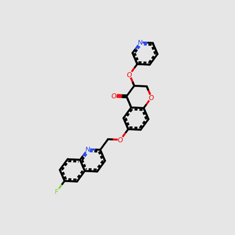 O=C1c2cc(OCc3ccc4cc(F)ccc4n3)ccc2OCC1Oc1cccnc1